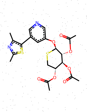 CC(=O)O[C@@H]1[C@@H](OC(C)=O)[C@H](OC(C)=O)CS[C@H]1Oc1cncc(-c2sc(C)nc2C)c1